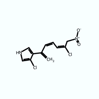 C=C(/C=C\C=C(\Cl)C[N+](=O)[O-])c1c[nH]cc1Cl